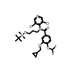 CC(C)(C)[Si](C)(C)OCCCN(C(=O)c1ccc(OC(F)F)c(OCC2CC2)c1)c1c(Cl)cncc1Cl